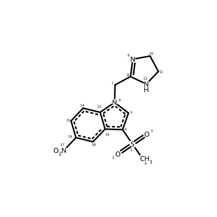 CS(=O)(=O)c1cn(CC2=NCCN2)c2ccc([N+](=O)[O-])cc12